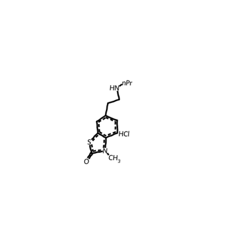 CCCNCCc1ccc2c(c1)sc(=O)n2C.Cl